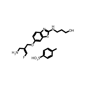 Cc1ccc(S(=O)(=O)O)cc1.NCC(=CF)COc1ccc2nc(NCCCO)sc2c1